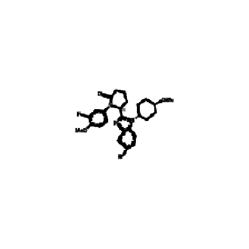 COc1ccc(N2C(=O)CCC[C@H]2c2nc3cc(Br)ccc3n2[C@H]2CC[C@H](OC)CC2)cc1F